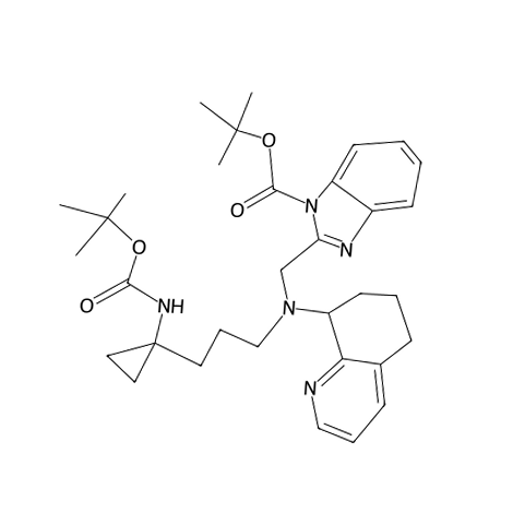 CC(C)(C)OC(=O)NC1(CCCN(Cc2nc3ccccc3n2C(=O)OC(C)(C)C)C2CCCc3cccnc32)CC1